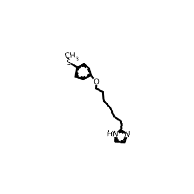 CSc1ccc(OCCCCCCc2ncc[nH]2)cc1